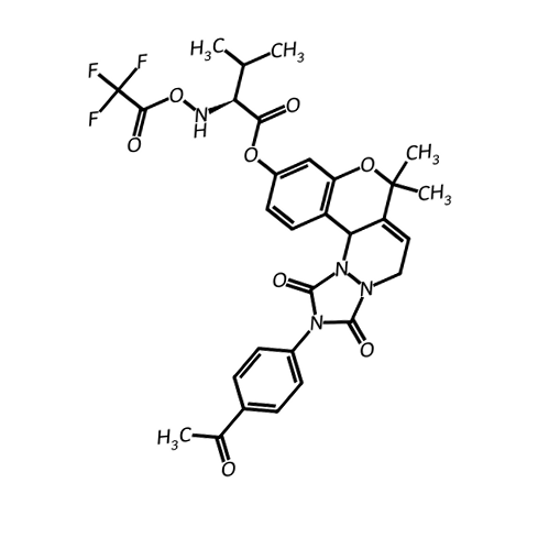 CC(=O)c1ccc(-n2c(=O)n3n(c2=O)C2C(=CC3)C(C)(C)Oc3cc(OC(=O)[C@@H](NOC(=O)C(F)(F)F)C(C)C)ccc32)cc1